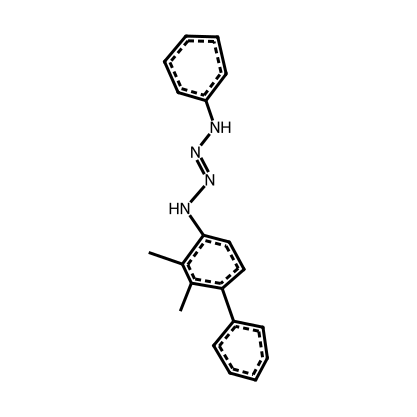 Cc1c(NN=NNc2ccccc2)ccc(-c2ccccc2)c1C